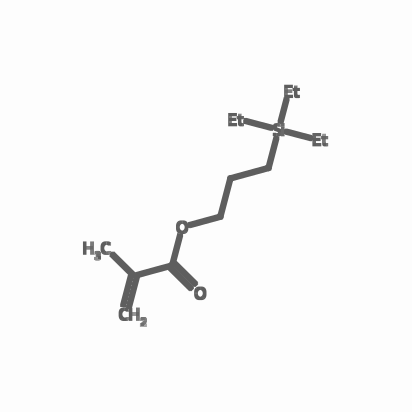 C=C(C)C(=O)OCCC[Si](CC)(CC)CC